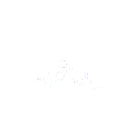 CC(F)(c1ccc2c(c1)CC[C@H]1[C@H](C(=O)NC3CCS(=O)(=O)C3)CC[C@@]21S(=O)(=O)c1ccc(F)cc1)C(F)(F)F